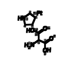 C1CCNC1.NC(C(=O)O)C(=O)O.[Pt]